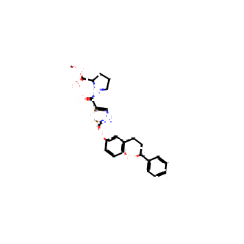 COC(=O)C1CCCN1C(=O)c1cnc(Oc2ccc3c(c2)CCC(c2ccccc2)O3)s1